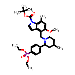 CCOP(=O)(OCC)c1ccc(C2CC(C)CCN2Cc2c(OC)cc(C)c3c2ccn3C(=O)OC(C)(C)C)cc1